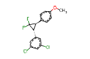 COc1ccc([C@H]2[C@H](c3cc(Cl)cc(Cl)c3)C2(F)F)cc1